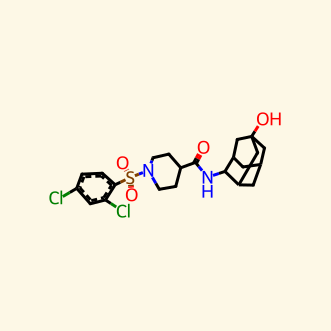 O=C(NC1C2CC3CC1CC(O)(C3)C2)C1CCN(S(=O)(=O)c2ccc(Cl)cc2Cl)CC1